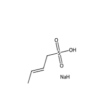 CC=CCS(=O)(=O)O.[NaH]